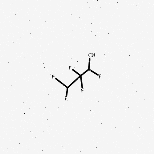 N#CC(F)C(F)(F)C(F)F